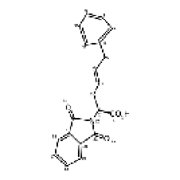 O=C(O)[C@H](CC=CCc1ccccc1)N1C(=O)c2ccccc2C1=O